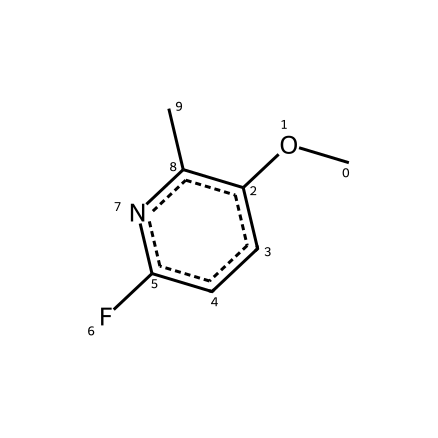 COc1ccc(F)nc1C